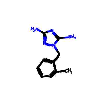 Cc1ccccc1Cn1nc(N)nc1N